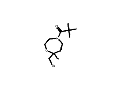 CCC(C)CC1(C)CCN(C(=O)C(C)(C)F)CCO1